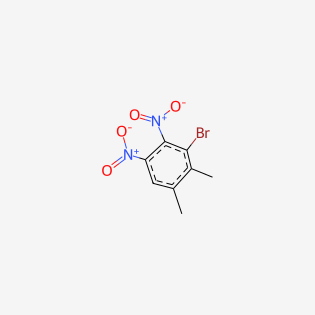 Cc1cc([N+](=O)[O-])c([N+](=O)[O-])c(Br)c1C